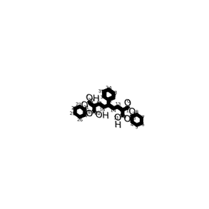 O=C1OC2(CCCCC2)OC(O)\C1=C/C=C(/C=C/C1=C(O)OC2(CCCCC2)OC1O)c1ccccc1